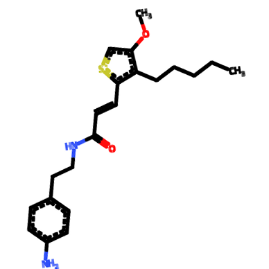 CCCCCc1c(OC)csc1C=CC(=O)NCCc1ccc(N)cc1